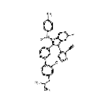 Cc1ccc([S+]([O-])n2c(-c3cccc(-c4ccc(CN(C)C)cc4Cl)c3)c(-c3ccsc3C#N)c3cc(F)ccc32)cc1